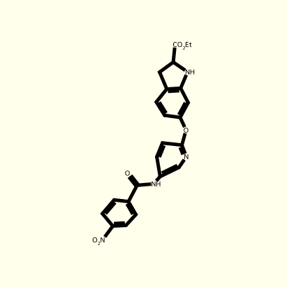 CCOC(=O)C1Cc2ccc(Oc3ccc(NC(=O)c4ccc([N+](=O)[O-])cc4)cn3)cc2N1